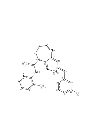 C=C(Nc1ncccc1C)N1CCC=NC(=C/C=C/c2cccc(Cl)c2)/C1=N\C